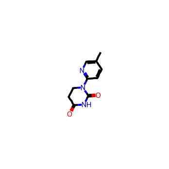 Cc1ccc(N2CCC(=O)NC2=O)nc1